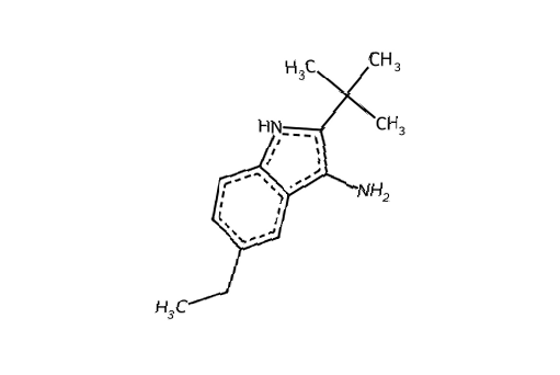 CCc1ccc2[nH]c(C(C)(C)C)c(N)c2c1